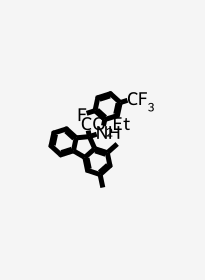 CCOC(=O)C1(Nc2cc(C(F)(F)F)ccc2F)c2ccccc2-c2cc(C)cc(C)c21